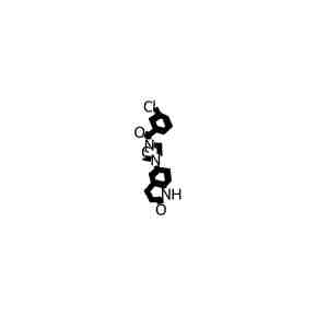 O=C1CCc2cc(N3CCN(C(=O)c4cccc(Cl)c4)CC3)ccc2N1